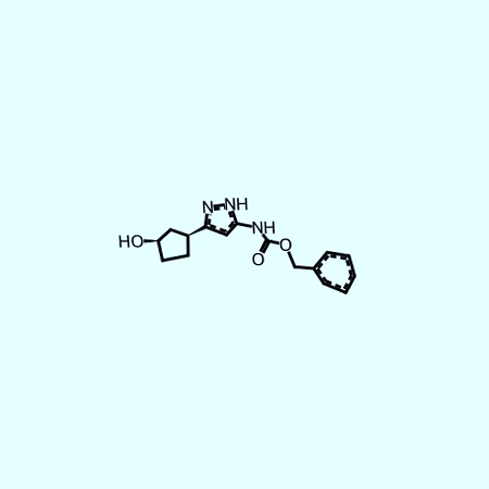 O=C(Nc1cc([C@H]2CC[C@@H](O)C2)n[nH]1)OCc1ccccc1